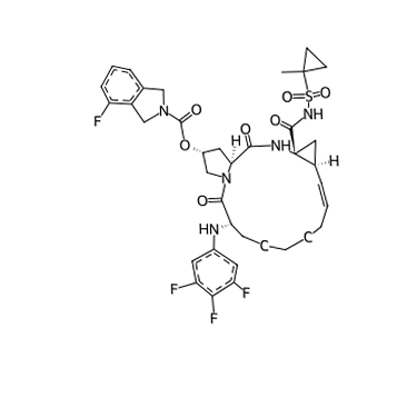 CC1(S(=O)(=O)NC(=O)[C@@]23C[C@H]2/C=C\CCCCC[C@H](Nc2cc(F)c(F)c(F)c2)C(=O)N2C[C@H](OC(=O)N4Cc5cccc(F)c5C4)C[C@H]2C(=O)N3)CC1